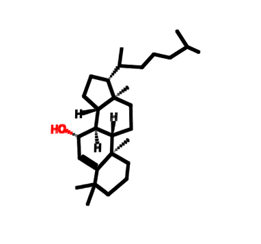 CC(C)CCCC(C)[C@H]1CC[C@H]2[C@@H]3[C@@H](O)C=C4C(C)(C)CCC[C@]4(C)[C@H]3CC[C@]12C